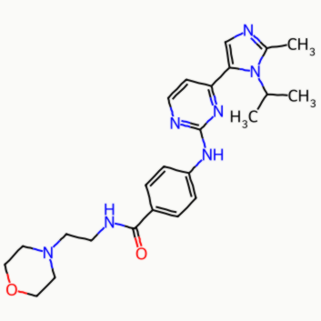 Cc1ncc(-c2ccnc(Nc3ccc(C(=O)NCCN4CCOCC4)cc3)n2)n1C(C)C